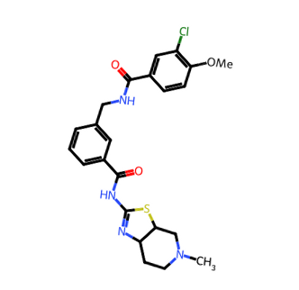 COc1ccc(C(=O)NCc2cccc(C(=O)NC3=NC4CCN(C)CC4S3)c2)cc1Cl